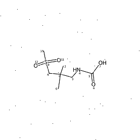 CC(C)(CNC(=O)O)CS(C)(=O)=O